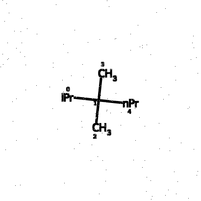 [CH2]C(C)C(C)(C)CCC